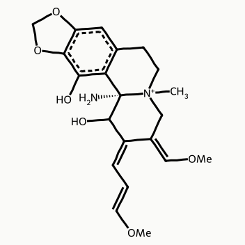 CO\C=C1/C[N+]2(C)CCc3cc4c(c(O)c3[C@]2(N)C(O)/C1=C/C=C/OC)OCO4